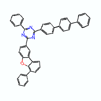 c1ccc(-c2ccc(-c3ccc(-c4nc(-c5ccccc5)nc(-c5ccc6oc7c(-c8ccccc8)cccc7c6c5)n4)cc3)cc2)cc1